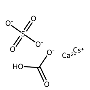 O=C([O-])O.O=S(=O)([O-])[O-].[Ca+2].[Cs+]